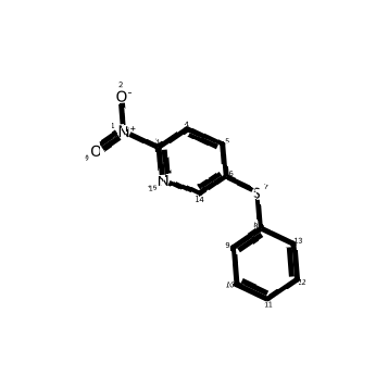 O=[N+]([O-])c1ccc(Sc2ccccc2)cn1